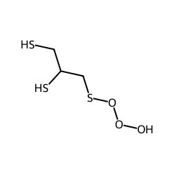 OOOSCC(S)CS